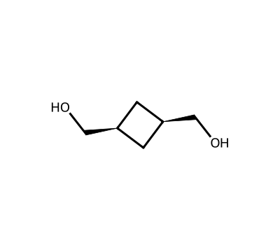 OC[C@H]1C[C@@H](CO)C1